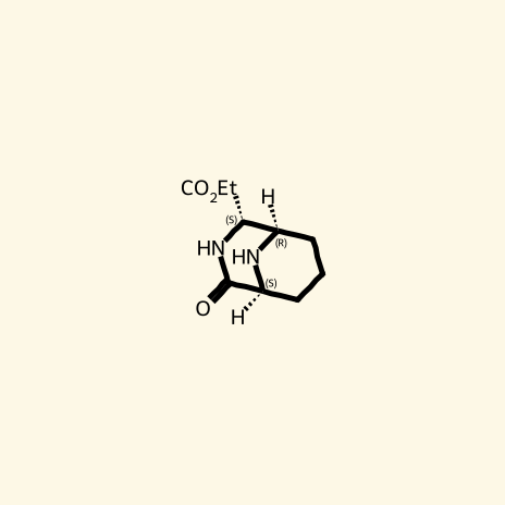 CCOC(=O)[C@H]1NC(=O)[C@@H]2CCC[C@H]1N2